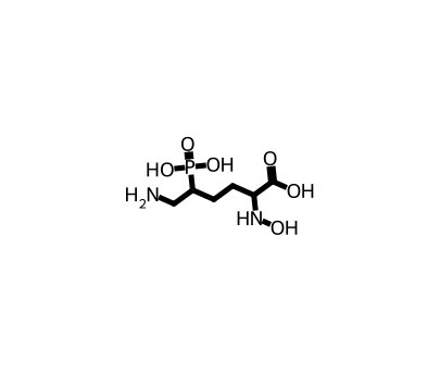 NCC(CCC(NO)C(=O)O)P(=O)(O)O